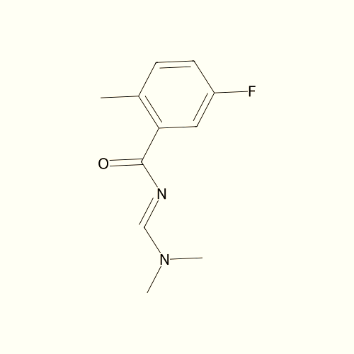 Cc1ccc(F)cc1C(=O)/N=C/N(C)C